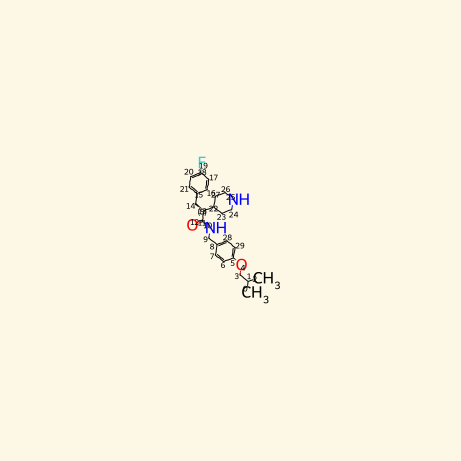 CC(C)COc1ccc(CNC(=O)[C@@H](Cc2ccc(F)cc2)C2CCNCC2)cc1